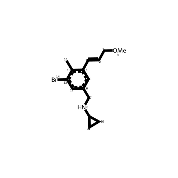 COCC=Cc1cc(CNC2CC2)cc(Br)c1C